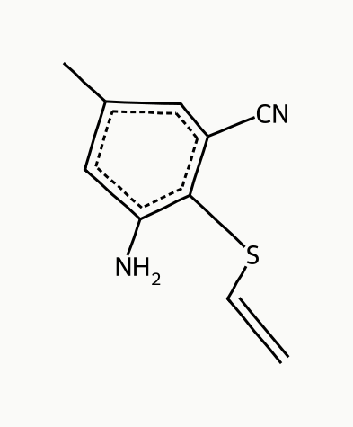 C=CSc1c(N)cc(C)cc1C#N